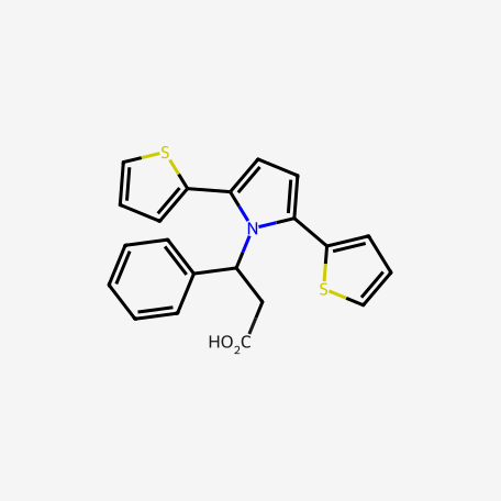 O=C(O)CC(c1ccccc1)n1c(-c2cccs2)ccc1-c1cccs1